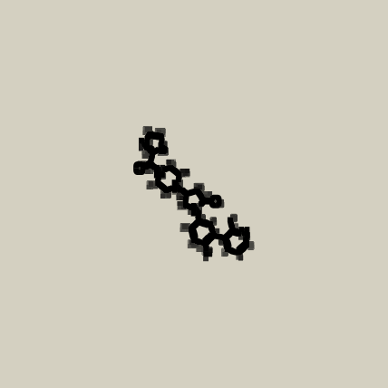 Cc1ncccc1-c1cc(N2CC(N3CCN(C(=O)c4nccs4)CC3)CC2=O)ccc1F